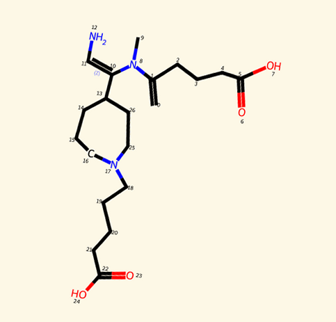 C=C(CCCC(=O)O)N(C)/C(=C\N)C1CCCN(CCCCC(=O)O)CC1